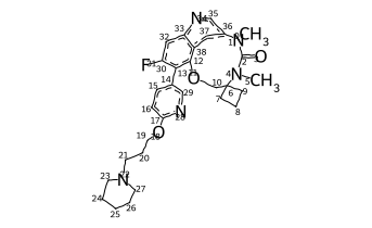 CN1C(=O)N(C)C2(CCC2)COc2c(-c3ccc(OCCCN4CCCCC4)nc3)c(F)cc3ncc1cc23